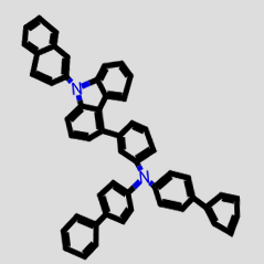 c1ccc(-c2ccc(N(c3ccc(-c4ccccc4)cc3)c3cccc(-c4cccc5c4c4ccccc4n5-c4ccc5ccccc5c4)c3)cc2)cc1